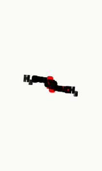 CC1CCC(c2ccc(-c3ccc(C(=O)Oc4ccc5c(c4-c4c(OC(=O)c6ccc(-c7ccc(C8CCC(C)CC8)cc7)cc6)ccc6c4CCCC6)CCCC5)cc3)cc2)CC1